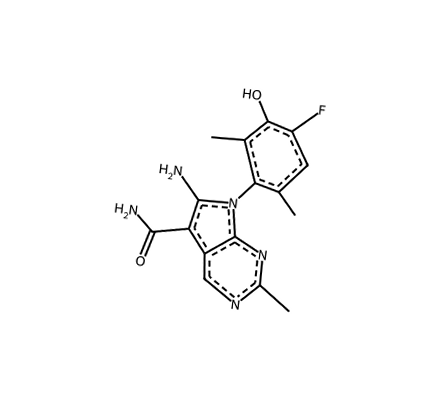 Cc1ncc2c(C(N)=O)c(N)n(-c3c(C)cc(F)c(O)c3C)c2n1